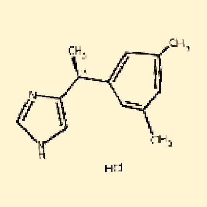 Cc1cc(C)cc([C@H](C)c2c[nH]cn2)c1.Cl